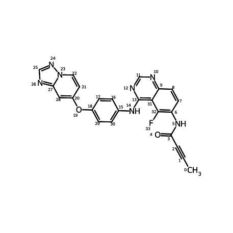 CC#CC(=O)Nc1ccc2ncnc(Nc3ccc(Oc4ccn5ncnc5c4)cc3)c2c1F